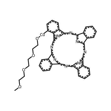 COCCOCCOCC[O][Cu][c]1cccc2c3nc4nc(nc5[nH]c(nc6nc(nc([nH]3)c12)-c1ccccc1-6)c1ccccc51)-c1ccccc1-4